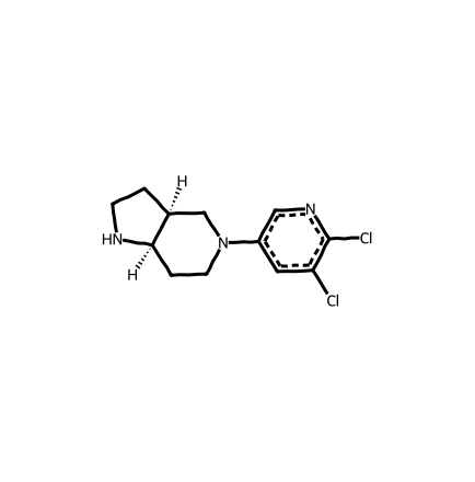 Clc1cc(N2CC[C@H]3NCC[C@H]3C2)cnc1Cl